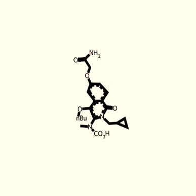 CCCCOc1c(N(C)C(=O)O)n(CC2CC2)c(=O)c2ccc(OCC(N)=O)cc12